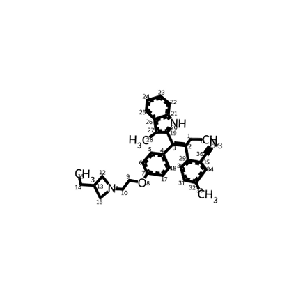 CC/C(=C(/c1ccc(OCCN2CC(CC)C2)cc1)c1[nH]c2ccccc2c1C)c1ccc(C)cc1C#N